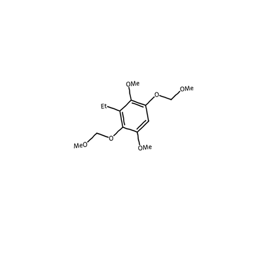 [CH2]Cc1c(OC)c(OCOC)cc(OC)c1OCOC